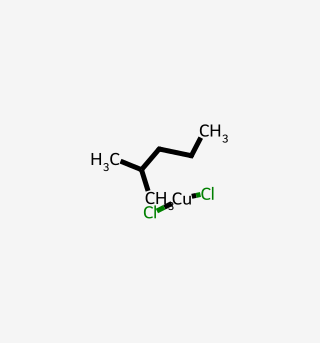 CCCC(C)C.[Cl][Cu][Cl]